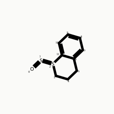 O=S=S1CCCc2c[c]ccc21